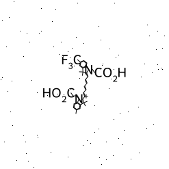 Cc1ccc2c(c1)C(C)(C)C(/C=C/C=C/C=C/C=C1/N(CCC(=O)O)c3ccc(C(F)(F)F)cc3C1(C)C)=[N+]2CCC(=O)O